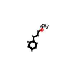 [CH2]OCCCc1ccccc1